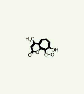 Cc1cc(=O)oc2c1=CCC=C(O)C=2C=O